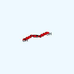 CC(O)CC(C)CC(C)CC(C)CC(C)CC(C)CC(C)CCCOCOCOCCCC(C)CC(C)CC(C)CC(C)CC(C)CC(C)CC(C)O